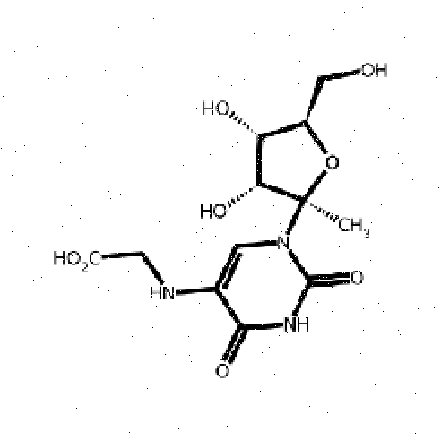 C[C@@]1(n2cc(NCC(=O)O)c(=O)[nH]c2=O)O[C@H](CO)[C@@H](O)[C@H]1O